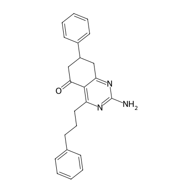 Nc1nc(CCCc2ccccc2)c2c(n1)CC(c1ccccc1)CC2=O